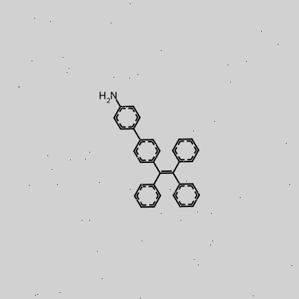 Nc1ccc(-c2ccc(C(=C(c3ccccc3)c3ccccc3)c3ccccc3)cc2)cc1